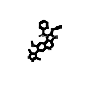 COc1cc2c(cc1-c1c(C)noc1C)ncc1[nH]c(=NC#N)n([C@H](C)c3ccccn3)c12